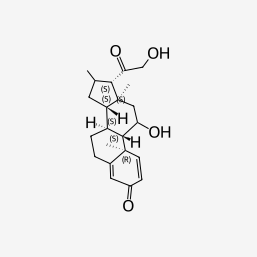 CC1C[C@H]2[C@@H]3CCC4=CC(=O)C=C[C@]4(C)[C@H]3C(O)C[C@]2(C)[C@H]1C(=O)CO